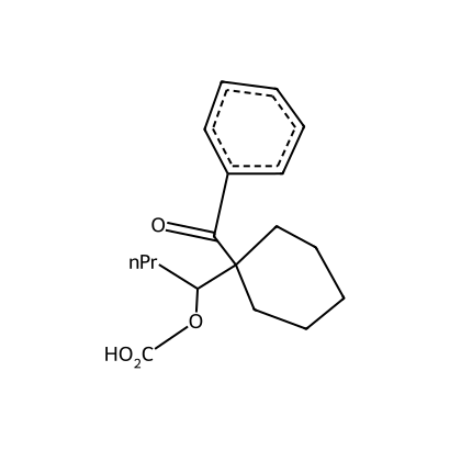 CCCC(OC(=O)O)C1(C(=O)c2ccccc2)CCCCC1